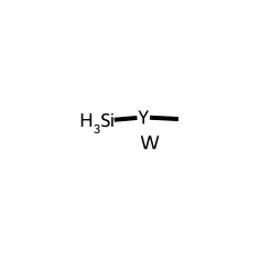 [CH3][Y][SiH3].[W]